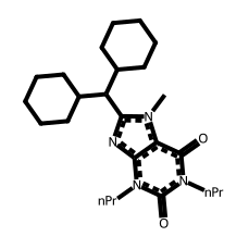 CCCn1c(=O)c2c(nc(C(C3CCCCC3)C3CCCCC3)n2C)n(CCC)c1=O